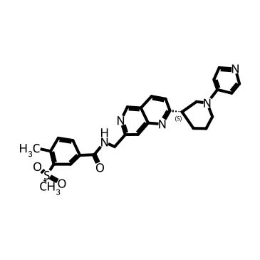 Cc1ccc(C(=O)NCc2cc3nc([C@H]4CCCN(c5ccncc5)C4)ccc3cn2)cc1S(C)(=O)=O